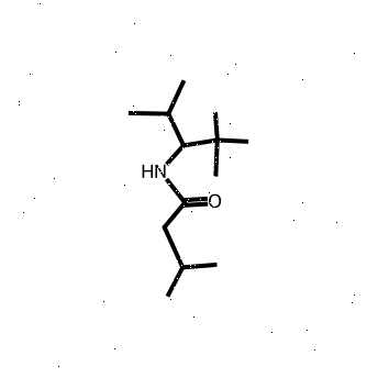 CC(C)CC(=O)NC(C(C)C)C(C)(C)C